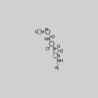 COC1C(=O)N(c2ccc(NC(=O)c3ccnc(N4CCOCC4)c3)cc2Cl)C=C2CC=C(NCCN(C)C)N=C21